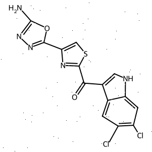 Nc1nnc(-c2csc(C(=O)c3c[nH]c4cc(Cl)c(Cl)cc34)n2)o1